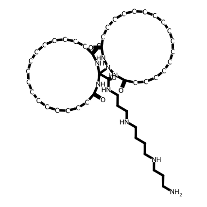 NCCCNCCCCNCCCNC(=O)C1(N2NC(=O)CCCCCCCCCCCCCCCCC(=O)N2)NC(=O)CCCCCCCCCCCCCCCCC(=O)N1